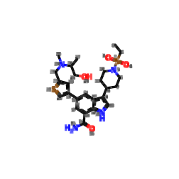 CCS(=O)(=O)N1CCC(c2c[nH]c3c(C(N)=O)cc(-c4csc(CN(C)C(C)CO)c4)cc23)CC1